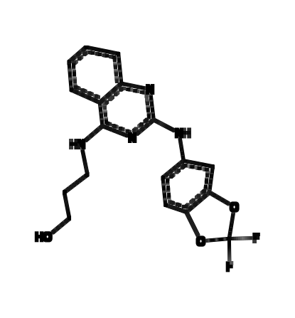 OCCCNc1nc(Nc2ccc3c(c2)OC(F)(F)O3)nc2ccccc12